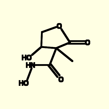 CC1(C(=O)NO)C(=O)OCC1O